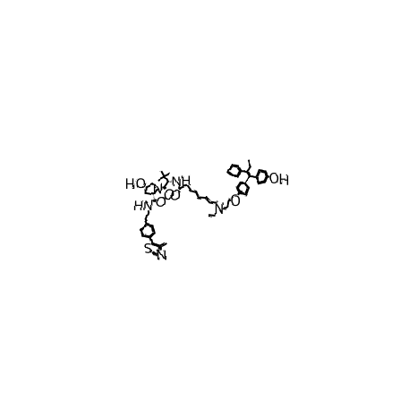 CC/C(=C(\c1ccc(O)cc1)c1ccc(OCCN(CC)CCCCCCCC(=O)N[C@H](C(=O)N2C[C@@H](O)C[C@H]2C(=O)NCCc2ccc(-c3scnc3C)cc2)C(C)(C)C)cc1)c1ccccc1